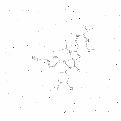 COc1nc(N(C)C)ncc1-c1cc2c(n1C(C)C)[C@@H](c1ccc(C#N)cc1)N(c1ccc(F)c(Cl)c1)C2=O